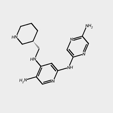 Nc1cnc(Nc2cc(NC[C@H]3CCCNC3)c(N)cn2)cn1